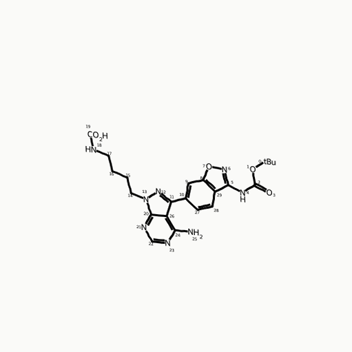 CC(C)(C)OC(=O)Nc1noc2cc(-c3nn(CCCCNC(=O)O)c4ncnc(N)c34)ccc12